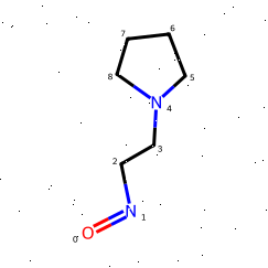 O=NCCN1CCCC1